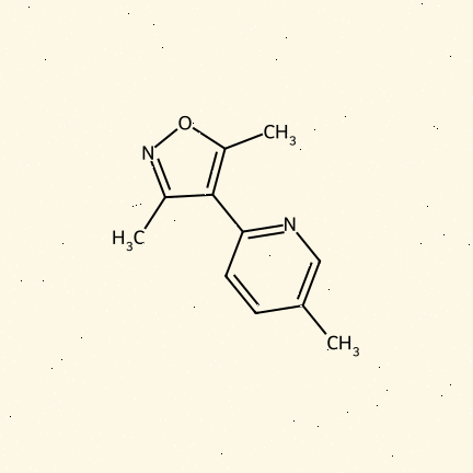 Cc1ccc(-c2c(C)noc2C)nc1